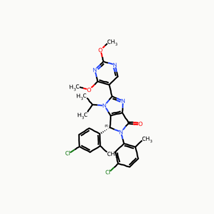 COc1ncc(-c2nc3c(n2C(C)C)[C@@H](c2ccc(Cl)cc2C)N(c2cc(Cl)ccc2C)C3=O)c(OC)n1